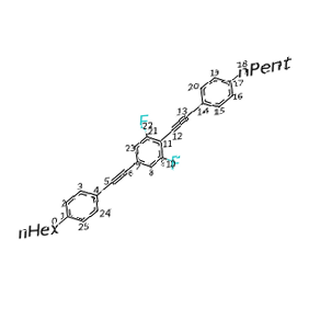 CCCCCCc1ccc(C#Cc2cc(F)c(C#Cc3ccc(CCCCC)cc3)c(F)c2)cc1